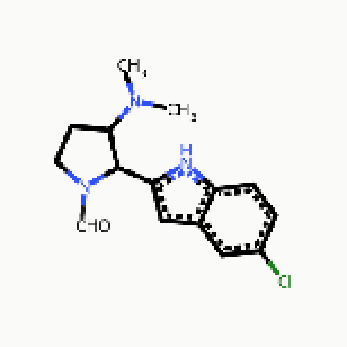 CN(C)C1CCN(C=O)C1c1cc2cc(Cl)ccc2[nH]1